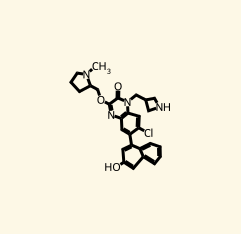 CN1CCCC1COc1nc2cc(-c3cc(O)cc4ccccc34)c(Cl)cc2n(CC2CNC2)c1=O